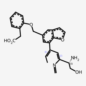 C=N/C(=C\C(=C/C)c1cc(COc2ccccc2CC(=O)O)cc2ccoc12)[C@H](N)CO